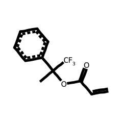 C=CC(=O)OC(C)(c1ccccc1)C(F)(F)F